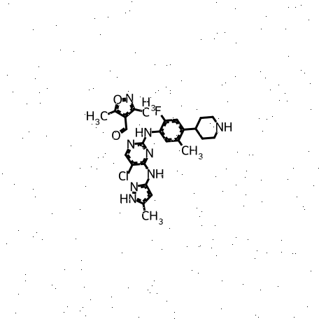 Cc1cc(Nc2nc(Nc3cc(C)c(C4CCNCC4)cc3F)ncc2Cl)n[nH]1.Cc1noc(C)c1C=O